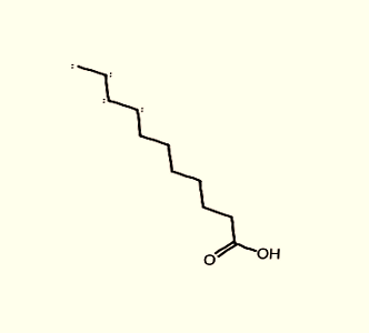 [CH][C][C][C]CCCCCCC(=O)O